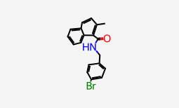 Cc1ccc2ccccc2c1C(=O)NCc1ccc(Br)cc1